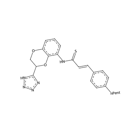 CCCCCc1ccc(C=CC(=S)Nc2cccc3c2OC(c2nnn[nH]2)CO3)cc1